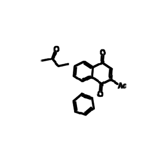 CC(=O)C1=CC(=O)c2ccccc2C1=O.CCC(C)=O.c1ccccc1